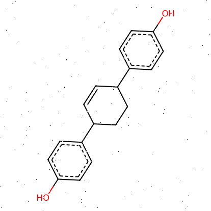 Oc1ccc(C2C=CC(c3ccc(O)cc3)CC2)cc1